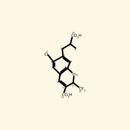 CC(Cc1cc2c(cc1Cl)C=C(C(=O)O)C(C(F)(F)F)O2)C(=O)O